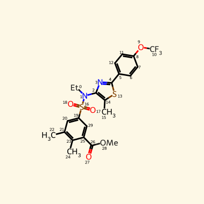 CCN(c1nc(-c2ccc(OC(F)(F)F)cc2)sc1C)S(=O)(=O)c1cc(C)c(C)c(C(=O)OC)c1